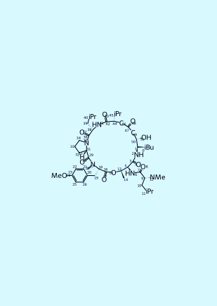 CC[C@H](C)[C@H]1NC(=O)[C@@H](NC(=O)[C@@H](CC(C)C)NC)[C@@H](C)OC(=O)[C@H](Cc2ccc(OC)cc2)N(C)C(=O)[C@@H]2CCCN2C(=O)[C@H](CC(C)C)NC(=O)[C@H](C(C)C)CC(=O)C[C@@H]1O